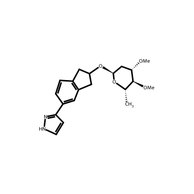 CO[C@H]1[C@H](C)O[C@@H](OC2Cc3ccc(-c4cc[nH]n4)cc3C2)C[C@@H]1OC